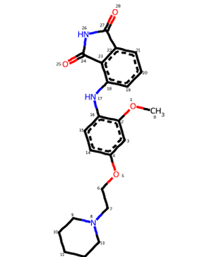 COc1cc(OCCN2CCCCC2)ccc1Nc1cccc2c1C(=O)NC2=O